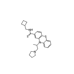 CC(CN1CCCC1)N1c2ccccc2Sc2ccc(C(=S)NCC3CCC3)cc21